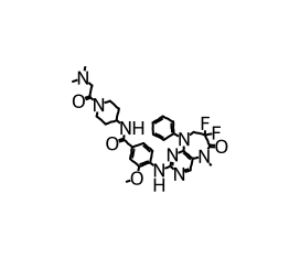 COc1cc(C(=O)NC2CCN(C(=O)CN(C)C)CC2)ccc1Nc1ncc2c(n1)N(c1ccccc1)CC(F)(F)C(=O)N2C